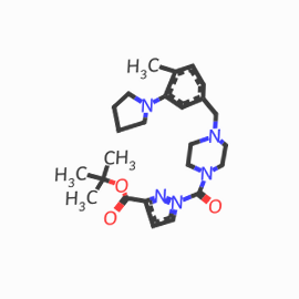 Cc1ccc(CN2CCN(C(=O)n3ccc(C(=O)OC(C)(C)C)n3)CC2)cc1N1CCCC1